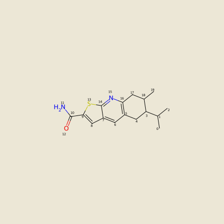 CC(C)C1Cc2cc3cc(C(N)=O)sc3nc2CC1C